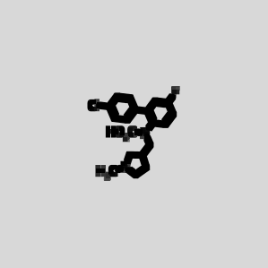 CN1CCC(CN(C(=O)O)c2ccc(F)cc2-c2ccc(Cl)cc2)C1